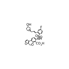 O=C(O)c1c(NS(=O)(=O)c2ccc(F)cc2C=CCN2CCC(O)C2)ccc2c1OCc1occc1-2